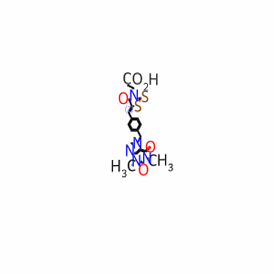 Cn1c(=O)c2c(ncn2Cc2ccc(/C=C3\SC(=S)N(CCC(=O)O)C3=O)cc2)n(C)c1=O